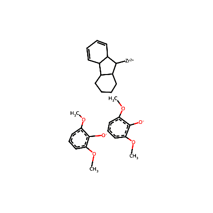 COc1cccc(OC)c1[O-].COc1cccc(OC)c1[O-].[Zr+2][CH]1C2C=CC=CC2C2CCCCC12